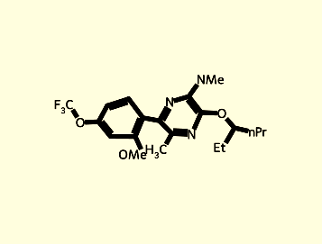 CCCC(CC)Oc1nc(C)c(-c2ccc(OC(F)(F)F)cc2OC)nc1NC